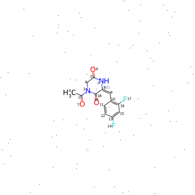 CC(=O)N1CC(=O)N/C(=C/c2ccc(F)cc2F)C1=O